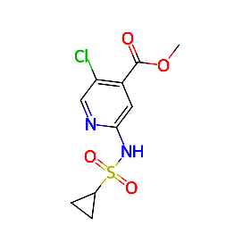 COC(=O)c1cc(NS(=O)(=O)C2CC2)ncc1Cl